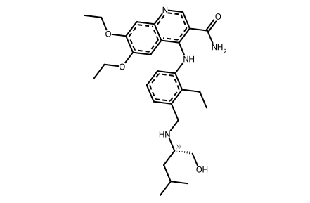 CCOc1cc2ncc(C(N)=O)c(Nc3cccc(CN[C@H](CO)CC(C)C)c3CC)c2cc1OCC